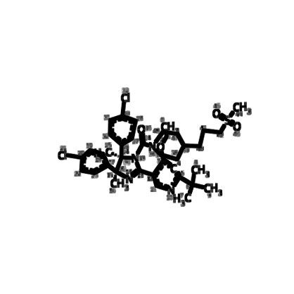 CCOc1cc(C(C)(C)C)ncc1C1=N[C@@](C)(c2ccc(Cl)cc2)[C@@](C)(c2ccc(Cl)cc2)N1C(=O)N1CCC(CCCS(C)(=O)=O)CC1